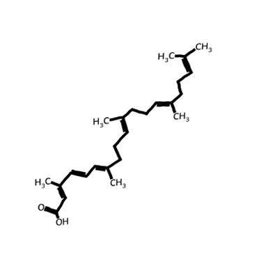 CC(C)=CCCC(C)=CCCC(C)=CCCC(C)=CC=CC(C)=CC(=O)O